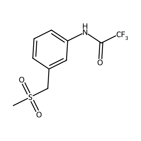 CS(=O)(=O)Cc1cccc(NC(=O)C(F)(F)F)c1